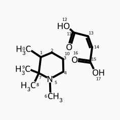 CC1CCCN(C)C1(C)C.O=C(O)/C=C\C(=O)O